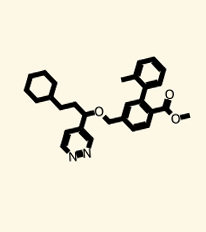 COC(=O)c1ccc(COC(CCC2CCCCC2)c2ccnnc2)cc1-c1ccccc1C